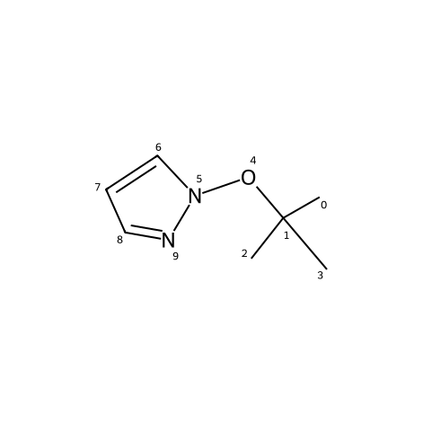 CC(C)(C)On1cccn1